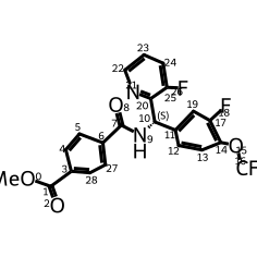 COC(=O)c1ccc(C(=O)N[C@@H](c2ccc(OC(F)(F)F)c(F)c2)c2ncccc2F)cc1